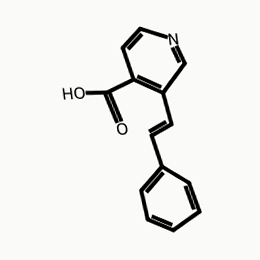 O=C(O)c1ccncc1/C=C/c1ccccc1